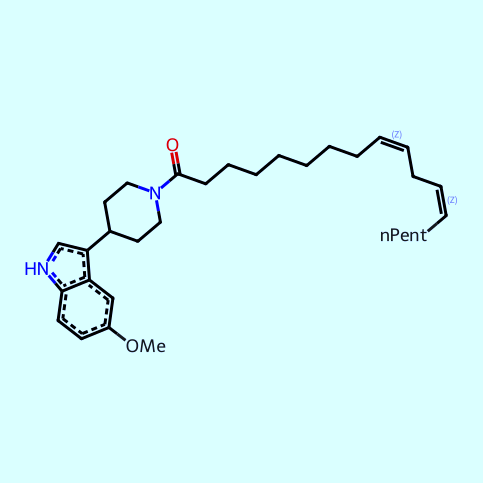 CCCCC/C=C\C/C=C\CCCCCCCC(=O)N1CCC(c2c[nH]c3ccc(OC)cc23)CC1